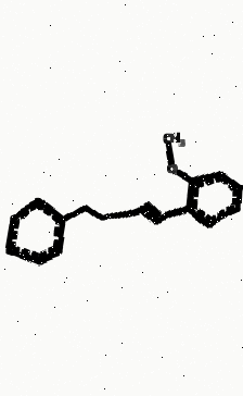 COc1ccccc1C=CCCc1ccccc1